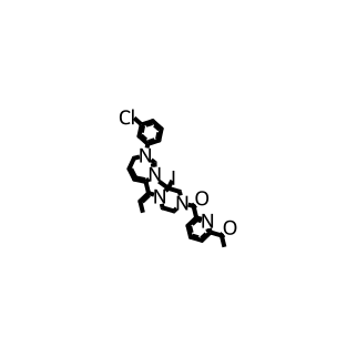 CC=C(C1=C=CCN(c2cccc(Cl)c2)C=N1)N1CCN(C(=O)c2cccc(C(C)=O)n2)CC1(C)I